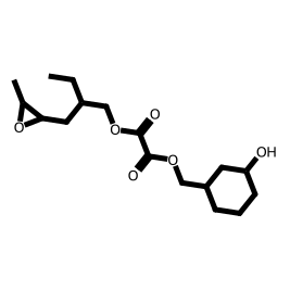 CCC(COC(=O)C(=O)OCC1CCCC(O)C1)CC1OC1C